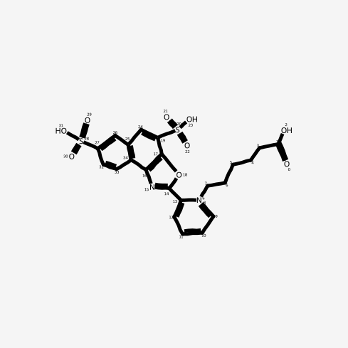 O=C(O)CCCCC[n+]1ccccc1-c1nc2c(o1)c(S(=O)(=O)O)cc1cc(S(=O)(=O)O)ccc12